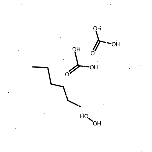 CCCCCC.O=C(O)O.O=C(O)O.OO